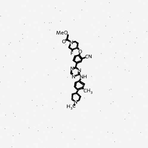 COCC(=O)N1CCC(Oc2ccc(-c3ncnc(Nc4ccc(C5CCN(C)CC5)c(C)c4)n3)cc2C#N)C(F)C1